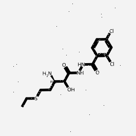 CCSCC[C@@H](N)C(O)C(=O)NNC(=O)c1ccc(Cl)cc1Cl